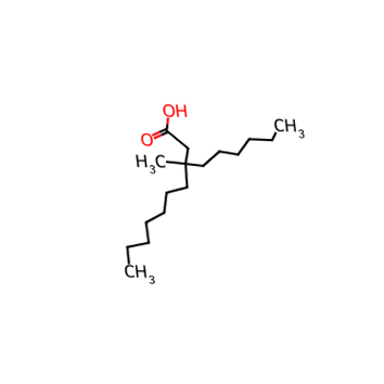 CCCCCCCC(C)(CCCCCC)CC(=O)O